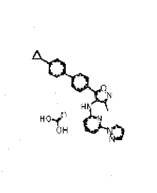 Cc1noc(-c2ccc(-c3ccc(C4CC4)cc3)cc2)c1Nc1cccc(-n2cccn2)n1.O=C(O)O